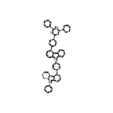 C1=Cc2c(n(-c3ccccc3)c3cccc(-c4ccc(-n5c6ccccc6c6c(-c7ccc(-c8cc(-c9ccccc9)nc(-c9ccccc9)n8)cc7)cccc65)cc4)c23)CC1